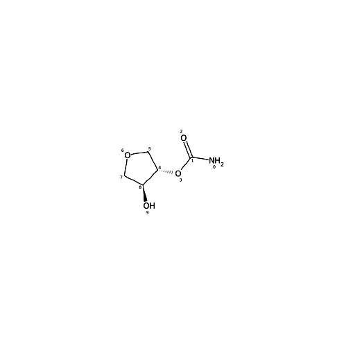 NC(=O)O[C@H]1COC[C@@H]1O